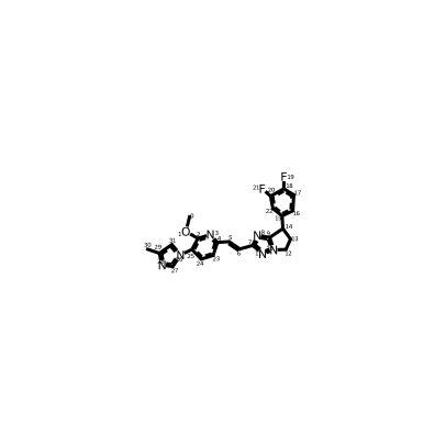 COc1nc(C=Cc2nc3n(n2)CCC3c2ccc(F)c(F)c2)ccc1-n1cnc(C)c1